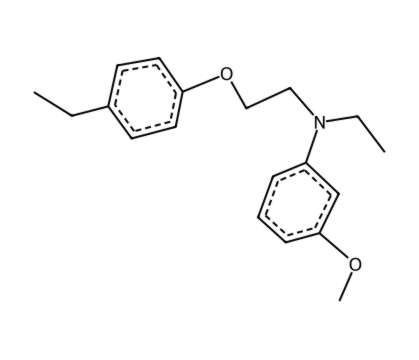 CCc1ccc(OCCN(CC)c2cccc(OC)c2)cc1